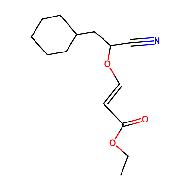 CCOC(=O)C=COC(C#N)CC1CCCCC1